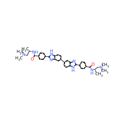 C[C@H](CN(C)C)NC(=O)c1ccc(-c2nc3cc(-c4ccc5[nH]c(-c6ccc(C(=O)N[C@H](C)CN(C)C)cc6)nc5c4)ccc3[nH]2)cc1